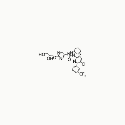 O=C(Nc1cnc(OC[C@H](O)CO)nc1)N1c2nc(-c3cccc(C(F)(F)F)c3)c(Cl)cc2N2CCC[C@H]1C2